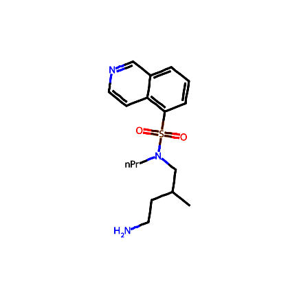 CCCN(CC(C)CCN)S(=O)(=O)c1cccc2cnccc12